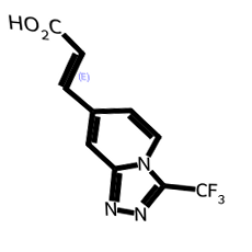 O=C(O)/C=C/c1ccn2c(C(F)(F)F)nnc2c1